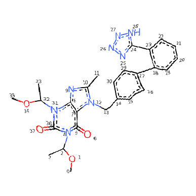 COC(C)n1c(=O)c2c(nc(C)n2Cc2ccc(-c3ccccc3-c3nnn[nH]3)cc2)n(C(C)OC)c1=O